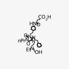 CCCn1c(=O)c2c(nc(Cc3ccccc3)n2CCN(CC)CCO)n(CCc2ccc(NC(=O)CCC(=O)O)cc2)c1=O